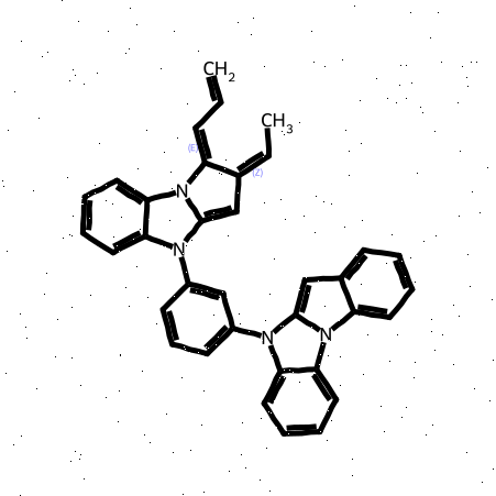 C=C/C=c1\c(=C/C)cc2n(-c3cccc(-n4c5ccccc5n5c6ccccc6cc45)c3)c3ccccc3n12